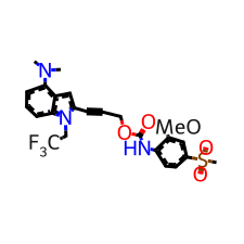 COc1cc(S(C)(=O)=O)ccc1NC(=O)OCC#Cc1cc2c(N(C)C)cccc2n1CC(F)(F)F